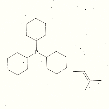 C1CCC(P(C2CCCCC2)C2CCCCC2)CC1.CC=C(C)C